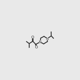 CC(C)C(=O)C(=O)N1CCN(C(C)C)CC1